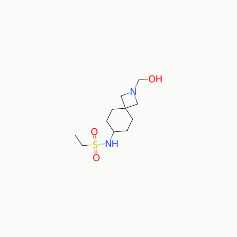 CCS(=O)(=O)NC1CCC2(CC1)CN(CO)C2